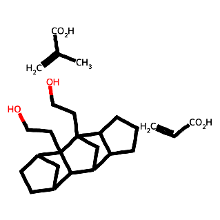 C=C(C)C(=O)O.C=CC(=O)O.OCCC12CC(C3CCCC31)C1C3CCC(C3)C12CCO